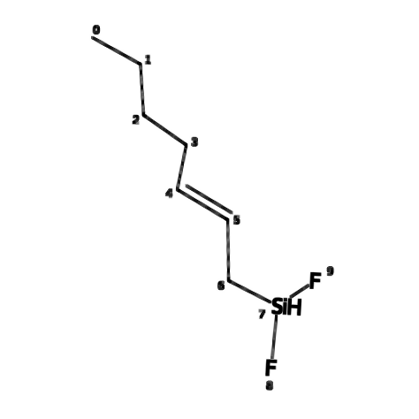 CCCCC=CC[SiH](F)F